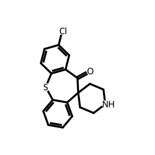 O=C1c2cc(Cl)ccc2Sc2ccccc2C12CCNCC2